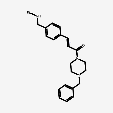 CCNCc1ccc(/C=C/C(=O)N2CCN(Cc3ccccc3)CC2)cc1